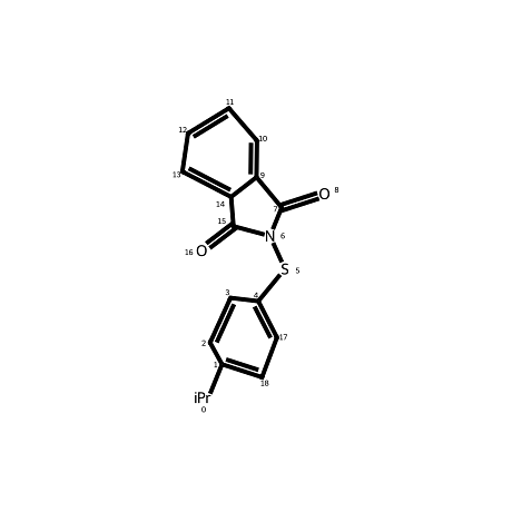 CC(C)c1ccc(SN2C(=O)c3ccccc3C2=O)cc1